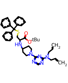 C=CCN(CC=C)c1ncnc(N2CCC(NC(CSC(c3ccccc3)(c3ccccc3)c3ccccc3)C(=O)OC(C)(C)C)CC2)n1